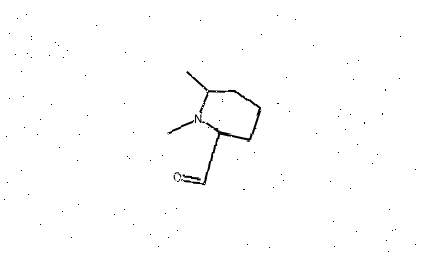 CC1CCCC(C=O)N1C